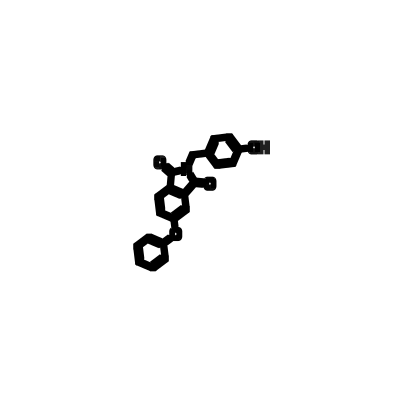 O=C1c2ccc(Oc3ccccc3)cc2C(=O)N1Cc1ccc(O)cc1